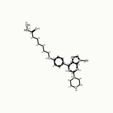 CC(C)n1cnc2c(-c3ccc(OCCCCCCC(=O)NO)cc3)nc(N3CCOCC3)nc21